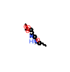 CCCCc1ccc([C@H](C)NC(=O)c2ccc3c(Cc4cccc(OC(C)C(=O)OCC)c4)c(C)n(C)c3c2)cc1